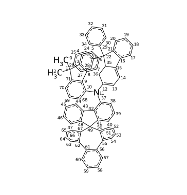 CC1(C)c2ccccc2-c2c(N(C3=CC=C4c5ccccc5C(c5ccccc5)(c5ccccc5)C4C3)c3cccc4c3-c3ccccc3C43c4ccccc4-c4ccccc4-c4ccccc43)cccc21